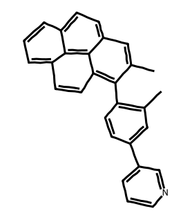 Cc1cc(-c2cccnc2)ccc1-c1c(C)cc2ccc3cccc4ccc1c2c34